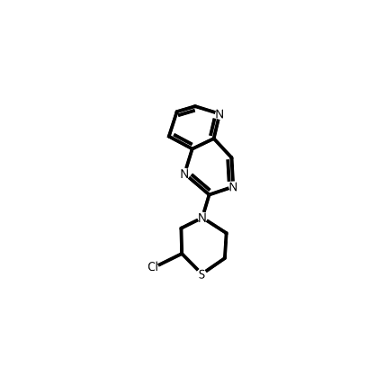 ClC1CN(c2ncc3ncccc3n2)CCS1